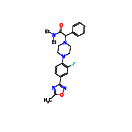 CCN(CC)C(=O)C(c1ccccc1)N1CCN(c2ccc(-c3noc(C)n3)cc2F)CC1